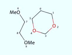 C1COCOC1.COCCOC